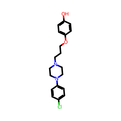 Oc1ccc(OCCCN2CCN(c3ccc(Cl)cc3)CC2)cc1